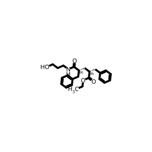 CCOC(=O)[C@@H](Cc1ccccc1)C[C@H](Cc1ccccc1)C(=O)NCCCO